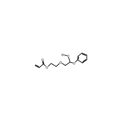 C=CC(=O)OCCOCC(OCC)Oc1ccccc1